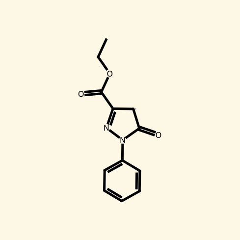 CCOC(=O)C1=NN(c2ccccc2)C(=O)[CH]1